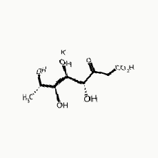 C[C@H](O)[C@H](O)[C@@H](O)[C@@H](O)C(=O)CC(=O)O.[K]